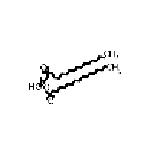 CCCCCCCCCCCCCCCCC1(COP(O)OCC2(CCCCCCCCCCCCCCCC)COC2)COC1